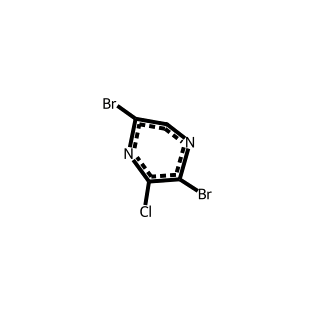 Clc1nc(Br)cnc1Br